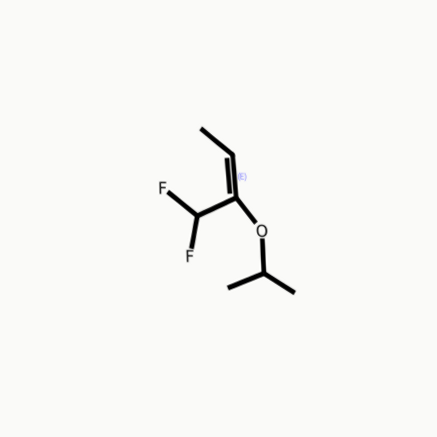 C/C=C(/OC(C)C)C(F)F